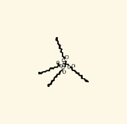 C=CCCCCCCCCC(=O)OCC(COC(=O)CCCCCCCCC=C)(COC(=O)CCCCCCCCC=C)COC(=O)CCCCCCCCC=C